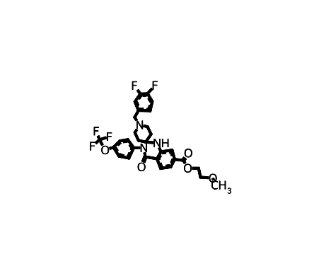 COCCOC(=O)c1ccc2c(c1)NC1(CCN(Cc3ccc(F)c(F)c3)CC1)N(c1ccc(OC(F)(F)F)cc1)C2=O